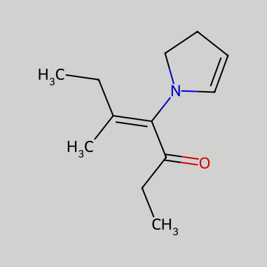 CCC(=O)/C(=C(\C)CC)N1C=CCC1